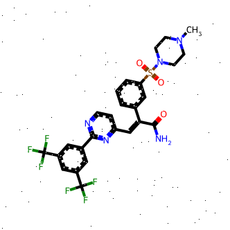 CN1CCN(S(=O)(=O)c2cccc(/C(=C\c3ccnc(-c4cc(C(F)(F)F)cc(C(F)(F)F)c4)n3)C(N)=O)c2)CC1